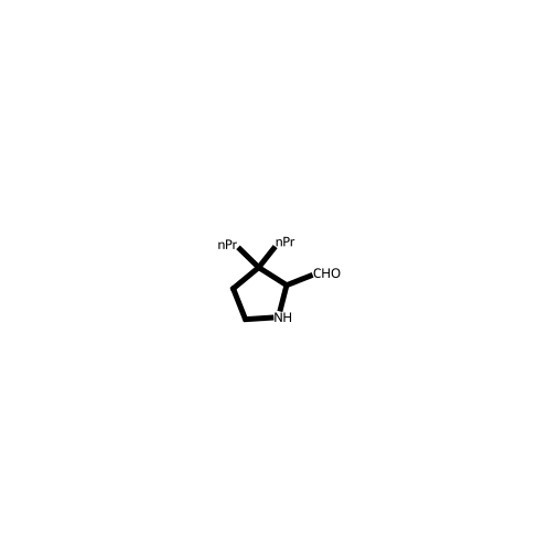 CCCC1(CCC)CCNC1C=O